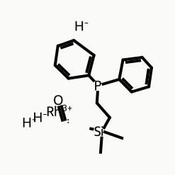 C[Si](C)(C)CCP(c1ccccc1)c1ccccc1.[C]=O.[H-].[H-].[H-].[Rh+3]